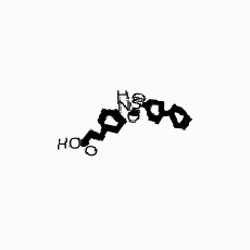 O=C(O)/C=C/c1ccc(NS(=O)(=O)c2ccc(-c3ccccc3)cc2)cc1